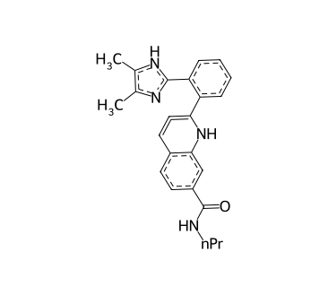 CCCNC(=O)c1ccc2c(c1)NC(c1ccccc1-c1nc(C)c(C)[nH]1)=C=C2